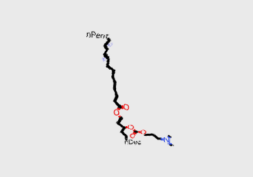 CCCCC/C=C/C/C=C/CCCCCCCC(=O)OCCC(CCCCCCCCCCCC)OC(=O)OCCCN(C)C